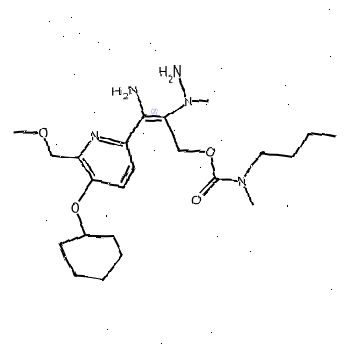 CCCCN(C)C(=O)OC/C(=C(/N)c1ccc(OC2CCCCC2)c(COC)n1)N(C)N